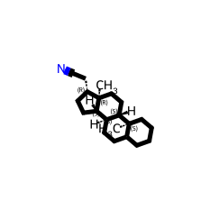 C[C@]12CC[C@H]3[C@@H](CCC4CCCC[C@@]43C)[C@@H]1CC[C@@H]2CC#N